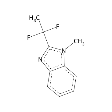 Cn1c(C(C)(F)F)nc2ccccc21